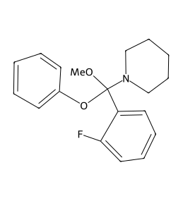 COC(Oc1ccccc1)(c1ccccc1F)N1CCCCC1